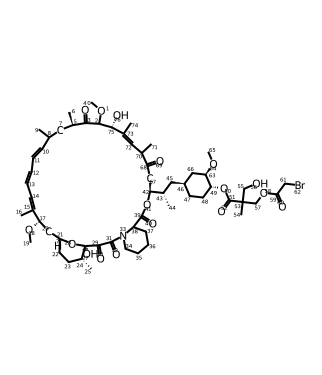 COC1C(=O)[C@H](C)CC(C)/C=C/C=C/C=C(\C)[C@@H](OC)C[C@@H]2CC[C@@H](C)[C@@](O)(O2)C(=O)C(=O)N2CCCCC2C(=O)O[C@H]([C@@H](C)C[C@@H]2CC[C@@H](OC(=O)C(C)(CO)COC(=O)CBr)[C@H](OC)C2)CC(=O)C(C)/C=C(\C)[C@H]1O